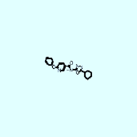 O=C(Nc1nnc(C2CCCCC2)o1)c1ccc(Oc2ccccc2)nc1